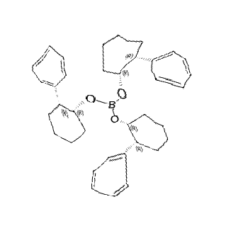 c1ccc([C@H]2CCCC[C@H]2OB(O[C@@H]2CCCC[C@@H]2c2ccccc2)O[C@@H]2CCCC[C@@H]2c2ccccc2)cc1